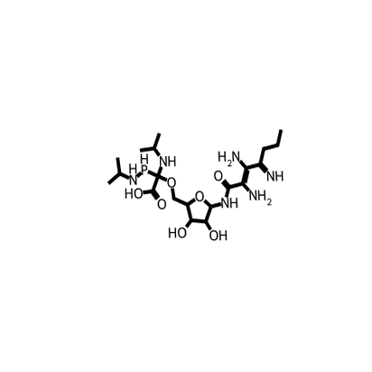 CCCC(=N)/C(N)=C(\N)C(=O)NC1OC(COC(NC(C)C)(PNC(C)C)C(=O)O)C(O)C1O